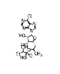 CCC(O)P(=O)(O)OC(C)C[C@H]1O[C@@H](n2cnc3c(Cl)ncnc32)[C@H](O)[C@@H]1O